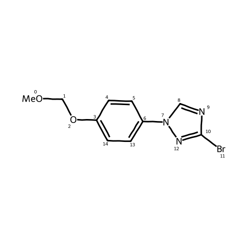 COCOc1ccc(-n2cnc(Br)n2)cc1